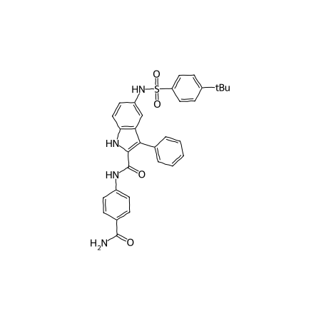 CC(C)(C)c1ccc(S(=O)(=O)Nc2ccc3[nH]c(C(=O)Nc4ccc(C(N)=O)cc4)c(-c4ccccc4)c3c2)cc1